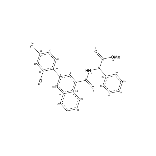 COC(=O)C(NC(=O)c1cc(-c2ccc(Cl)cc2Cl)nc2ccccc12)c1ccccc1